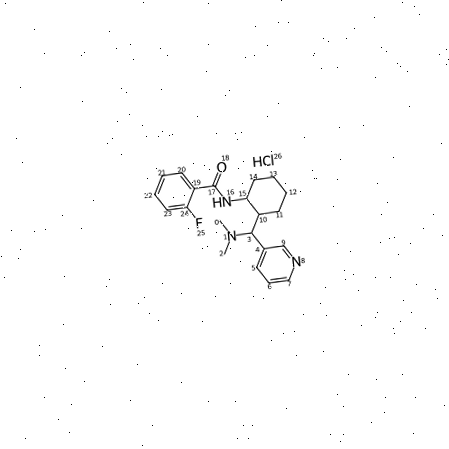 CN(C)C(c1cccnc1)C1CCCCC1NC(=O)c1ccccc1F.Cl